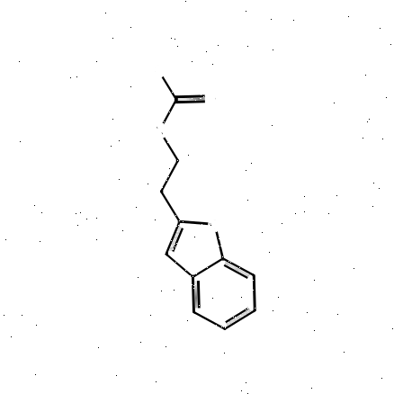 CC(=O)NCCc1cc2ccccc2o1